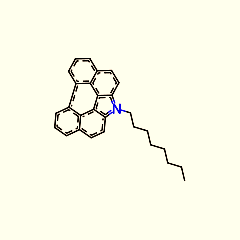 CCCCCCCCn1c2ccc3cccc4c5cccc6ccc1c(c65)c2c34